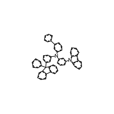 c1ccc(-c2cccc(N(c3cccc(-n4c5ccccc5c5ccccc54)c3)c3cccc(C4(c5ccccc5)c5ccccc5-c5ccccc54)c3)c2)cc1